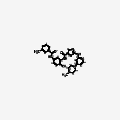 Cc1cccc(C(=O)Nc2ccc(C)c(NC(=O)C3CN=C(Nc4cc(N5CCN(C)CC5)ccn4)S3)c2)c1